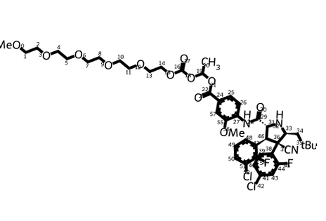 COCCOCCOCCOCCOCCOC(=O)OC(C)OC(=O)c1ccc(NC(=O)[C@@H]2N[C@@H](CC(C)(C)C)[C@](C#N)(c3ccc(Cl)cc3F)[C@H]2c2cccc(Cl)c2F)c(OC)c1